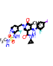 CNS(=O)(=O)Nc1nccc(Cn2cc(C(=O)NC3CC3)c(Nc3ccc(I)cc3F)c(C)c2=O)c1F